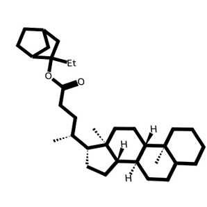 CCC1(OC(=O)CC[C@@H](C)[C@H]2CC[C@H]3[C@@H]4CCC5CCCC[C@]5(C)[C@H]4CC[C@]23C)CC2CCC1C2